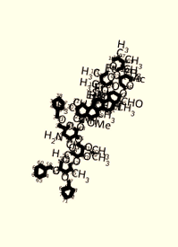 CCC1O[C@@H](OC2[C@H](O[C@H]3CCC4(C)C5CC=C6C7CC(C)(C)CC[C@]7(NC(=O)O[C@H]7OC(COCc8ccccc8)[C@H](N)C(C)C7O[C@@H]7OC(C)[C@H](O[C@@H]8OC[C@@H](OCc9ccccc9)C(OCc9ccccc9)C8C)C8OC(C)(C)OC87)C(OC)C[C@@]6(C)[C@@]5(C)CC[C@H]4[C@@]3(C)C=O)OC(C(C)=O)[C@@H](C)[C@@H]2O[C@@H]2OC[C@@H](C)[C@@H](C)C2C)C(O[Si](CC)(CC)CC)[C@@H](C)[C@@H]1C